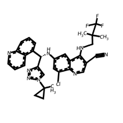 CC1(n2cc([C@@H](Nc3cc(Cl)c4ncc(C#N)c(NCC(C)(C)C(F)(F)F)c4c3)c3cccc4ncccc34)nn2)CC1